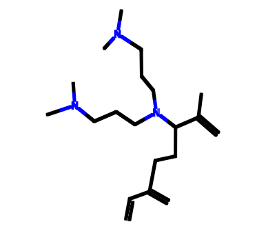 C=CC(=C)CCC(C(=C)C)N(CCCN(C)C)CCCN(C)C